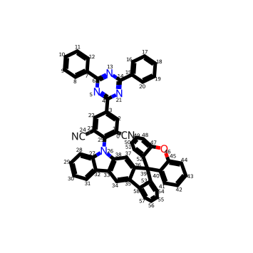 N#Cc1cc(-c2nc(-c3ccccc3)nc(-c3ccccc3)n2)cc(C#N)c1-n1c2ccccc2c2cc3c(cc21)C1(c2ccccc2Oc2ccccc21)c1ccccc1-3